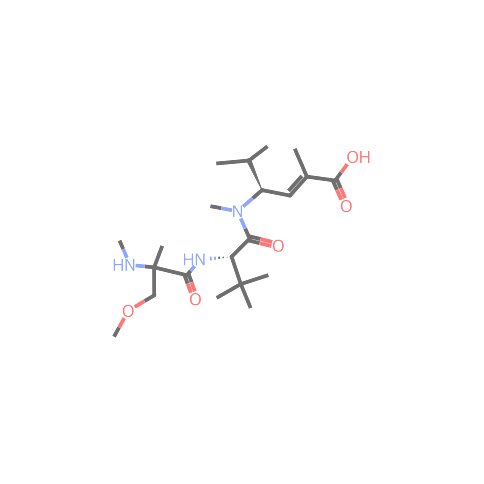 CNC(C)(COC)C(=O)N[C@H](C(=O)N(C)[C@H](/C=C(\C)C(=O)O)C(C)C)C(C)(C)C